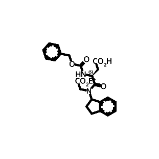 CCOC(=O)CN(C(=O)[C@H](CC(=O)O)NC(=O)OCc1ccccc1)C1CCc2ccccc21